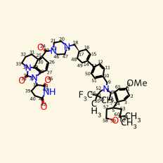 COc1ccc([C@]2(CCN(Cc3ccc(C4=CC[C@H](CN5CCN(C(=O)c6ccc7c8c6CCCn8c(=O)n7[C@@H]6CCC(=O)NC6=O)CC5)CC4)cc3)CC(C)(C)C(F)(F)F)CCOC(C)(C)C2)cc1